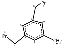 [CH2]c1cc(CC(C)C)cc(CC(C)C)c1